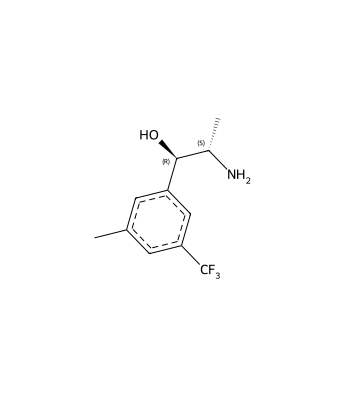 Cc1cc([C@@H](O)[C@H](C)N)cc(C(F)(F)F)c1